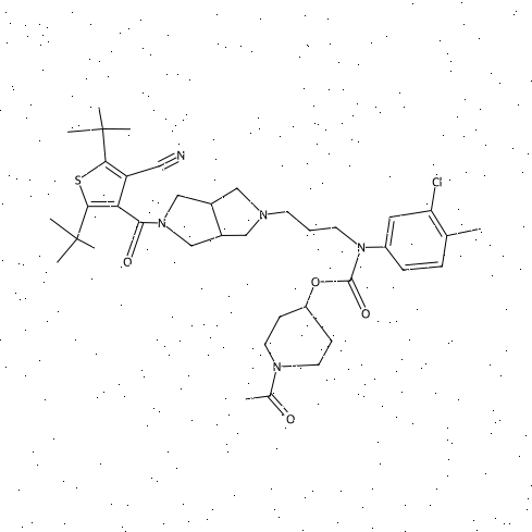 CC(=O)N1CCC(OC(=O)N(CCCN2CC3CN(C(=O)c4c(C(C)(C)C)sc(C(C)(C)C)c4C#N)CC3C2)c2ccc(C)c(Cl)c2)CC1